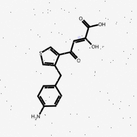 Nc1ccc(Cc2cscc2C(=O)/C=C(\O)C(=O)O)cc1